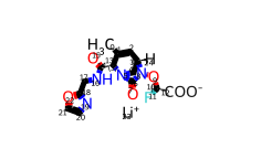 CC1=C[C@@H]2CN(C(=O)N2O[C@@H](F)C(=O)[O-])[C@@H]1C(=O)NCc1ncco1.[Li+]